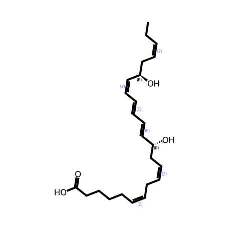 CC/C=C\C[C@@H](O)\C=C/C=C/C=C/[C@H](O)C/C=C\C/C=C\CCCCC(=O)O